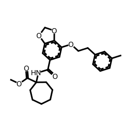 COC(=O)C1(NC(=O)c2cc(OCCc3cccc(C)c3)c3c(c2)OCO3)CCCCCC1